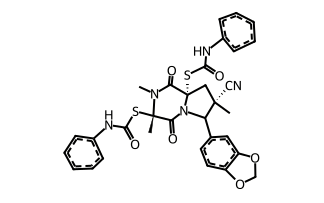 CN1C(=O)[C@@]2(SC(=O)Nc3ccccc3)C[C@](C)(C#N)C(c3ccc4c(c3)OCO4)N2C(=O)[C@]1(C)SC(=O)Nc1ccccc1